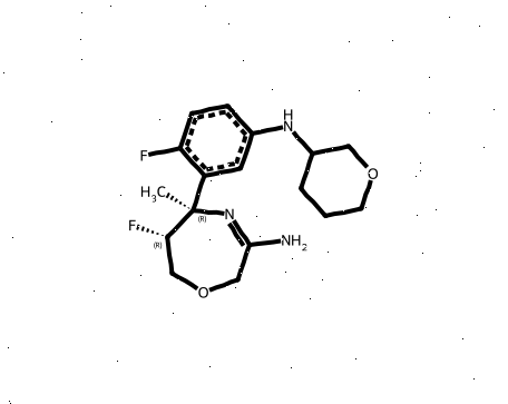 C[C@]1(c2cc(NC3CCCOC3)ccc2F)N=C(N)COC[C@@H]1F